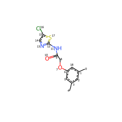 Cc1cc(C)cc(OCC(=O)Nc2ncc(Cl)s2)c1